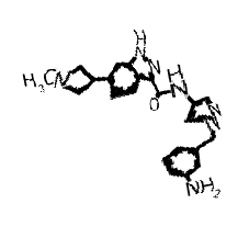 CN1CC(c2ccc3c(C(=O)Nc4cnn(Cc5cccc(N)c5)c4)n[nH]c3c2)C1